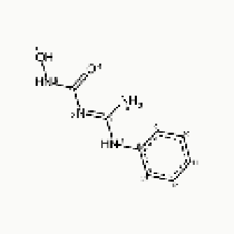 N/C(=N\C(=O)NO)Nc1ccccc1